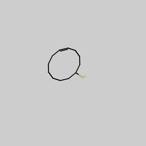 SC1CCC[CH]CCC=CCCC1